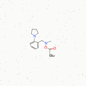 CN(Cc1ccccc1N1CCCC1)OC(=O)C(C)(C)C